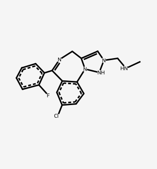 CNCN1C=C2CN=C(c3ccccc3F)c3cc(Cl)ccc3N2N1